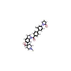 Cc1cc(N2CCCC2=O)ccc1-c1ccc(C(=O)N2CCc3cc4c(cc32)C2(CCN(C)CC2)CO4)cc1